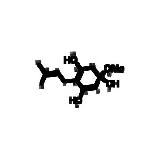 COC1(O)C=C(O)C(CC=C(C)C)=C(O)C1